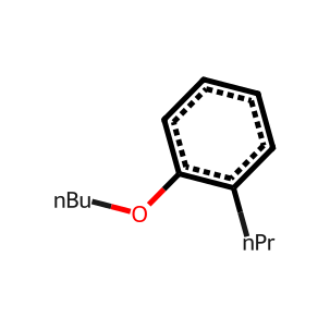 CCCCOc1ccccc1CCC